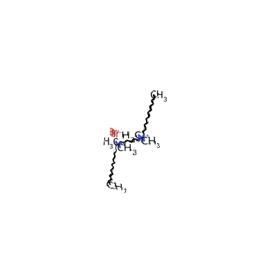 CCCCCCCCCCCCCC[N+](C)(C)CCCCCC[N+](C)(C)CCCCCCCCCCCCCC.[Br-].[Br-]